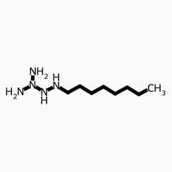 CCCCCCCCNNN(N)N